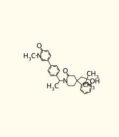 C[C@@H](c1ccc(-c2ccc(=O)n(C)c2)cc1)N1CCC(CC(C)(C)O)(c2ccccc2)CC1=O